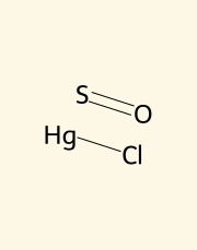 O=S.[Cl][Hg]